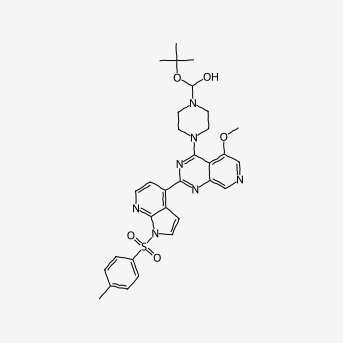 COc1cncc2nc(-c3ccnc4c3ccn4S(=O)(=O)c3ccc(C)cc3)nc(N3CCN(C(O)OC(C)(C)C)CC3)c12